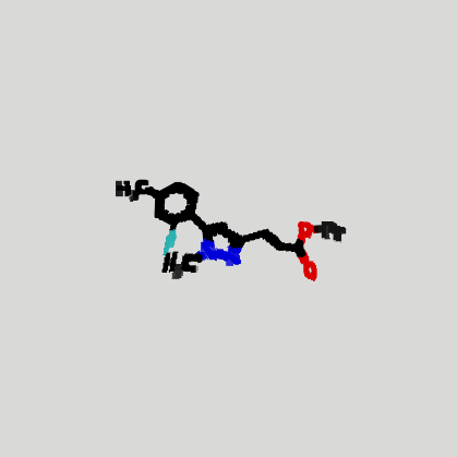 Cc1ccc(-c2cc(CCC(=O)OC(C)C)nn2C)c(F)c1